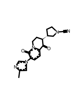 Cc1cn(-c2ccc3n(c2=O)CCC([C@@H]2CCN(C#N)C2)C3=O)cn1